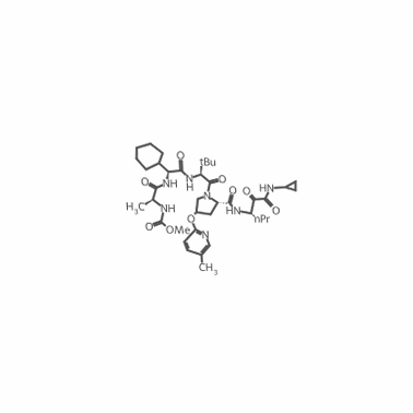 CCC[C@H](NC(=O)[C@@H]1C[C@@H](Oc2ccc(C)cn2)CN1C(=O)[C@@H](NC(=O)[C@@H](NC(=O)[C@H](C)NC(=O)OC)C1CCCCC1)C(C)(C)C)C(=O)C(=O)NC1CC1